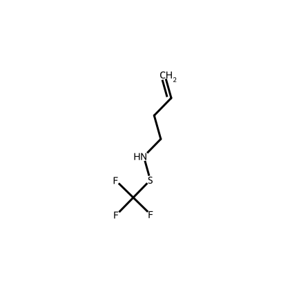 C=CCCNSC(F)(F)F